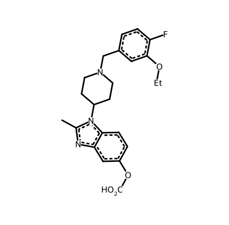 CCOc1cc(CN2CCC(n3c(C)nc4cc(OC(=O)O)ccc43)CC2)ccc1F